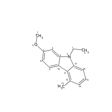 CCn1c2cc(OC)ccc2c2c(C)cccc21